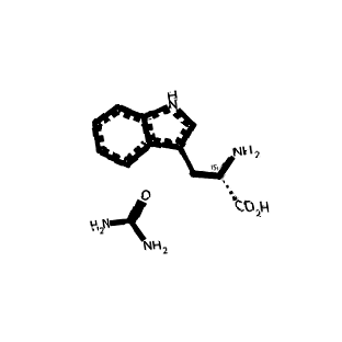 NC(N)=O.N[C@@H](Cc1c[nH]c2ccccc12)C(=O)O